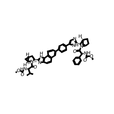 COC(=O)N[C@H](C(=O)N1[C@@H]2C[C@@H]2C[C@H]1c1nc2ccc3cc(-c4ccc(-c5cnc([C@@H]6[C@H]7CCC(C7)N6C(=O)[C@H](NC(=O)OC)c6ccccc6)[nH]5)cc4)ccc3c2[nH]1)C(C)C